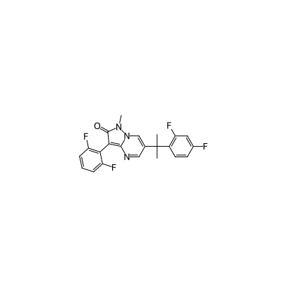 Cn1c(=O)c(-c2c(F)cccc2F)c2ncc(C(C)(C)c3ccc(F)cc3F)cn21